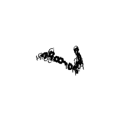 O=C1CCN(c2cc(C(=O)N3CCC4(CCC(CCN5CCC(n6cc(NC(=O)c7cnn8ccc(N9CCOCC9)nc78)c(C(F)F)n6)CC5)CC4)CC3)ccc2Cl)C(=O)N1